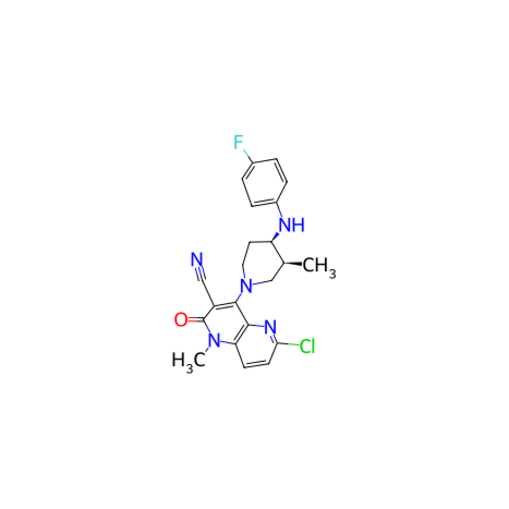 C[C@H]1CN(c2c(C#N)c(=O)n(C)c3ccc(Cl)nc23)CC[C@H]1Nc1ccc(F)cc1